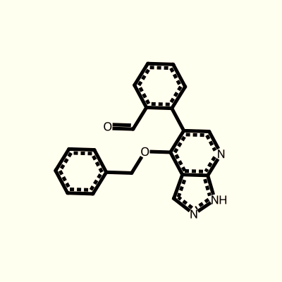 O=Cc1ccccc1-c1cnc2[nH]ncc2c1OCc1ccccc1